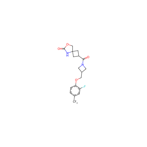 O=C1NC2(CO1)CC(C(=O)N1CC(COc3ccc(C(F)(F)F)cc3F)C1)C2